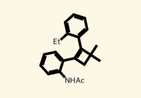 CCc1ccccc1C1=C(c2ccccc2NC(C)=O)CC1(C)C